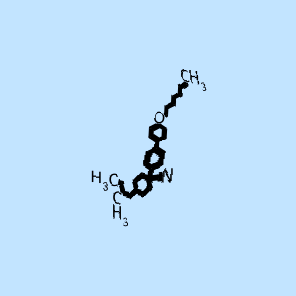 CCCCCCCCOc1ccc(-c2ccc(C3(C#N)CCC(CC(C)CC)CC3)cc2)cc1